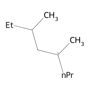 CCC[C](C)CC(C)CC